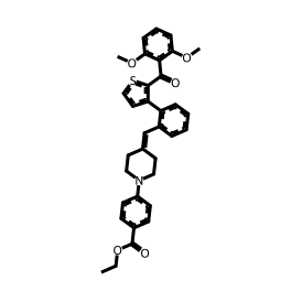 CCOC(=O)c1ccc(N2CCC(=Cc3ccccc3-c3ccsc3C(=O)c3c(OC)cccc3OC)CC2)cc1